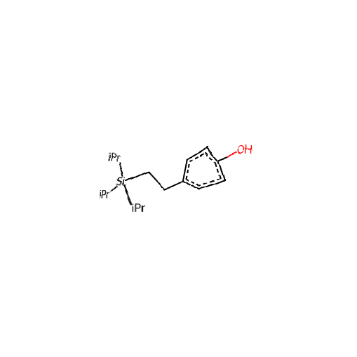 CC(C)[Si](CCc1ccc(O)cc1)(C(C)C)C(C)C